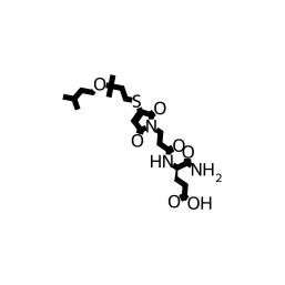 CC(C)CCOC(C)(C)CCSC1=CC(=O)N(CCC(=O)N[C@H](CCC(=O)O)C(N)=O)C1=O